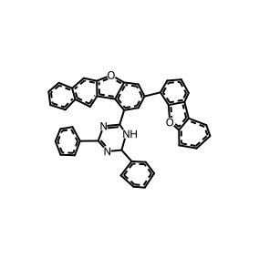 c1ccc(C2=NC(c3ccccc3)NC(c3cc(-c4cccc5c4oc4ccccc45)cc4oc5cc6ccccc6cc5c34)=N2)cc1